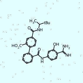 CC(NC(=O)c1ccc(-c2ccccc2C(=O)Nc2ccc(C(=N)N)c(O)c2)c(C(=O)O)c1)C(C)(C)C